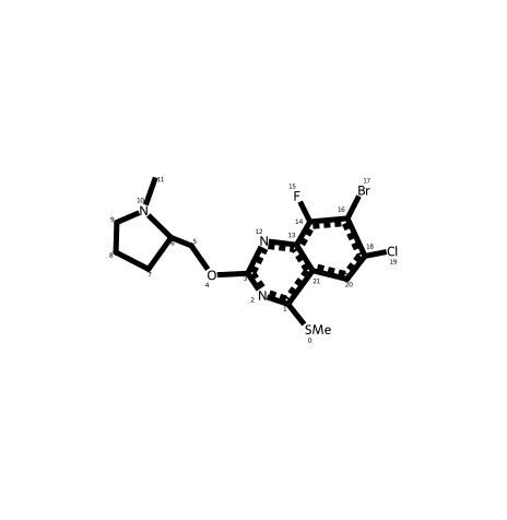 CSc1nc(OCC2CCCN2C)nc2c(F)c(Br)c(Cl)cc12